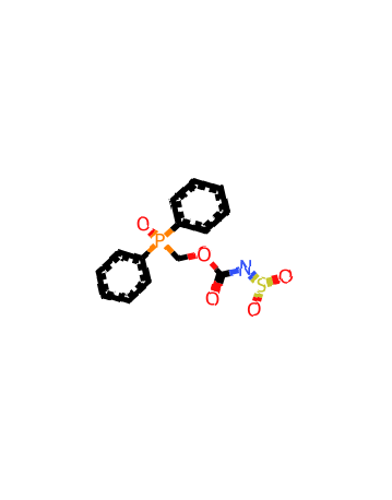 O=C(N=S(=O)=O)OCP(=O)(c1ccccc1)c1ccccc1